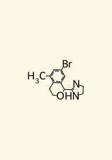 Cc1cc(Br)cc2c1CCOC2C1=NCCN1